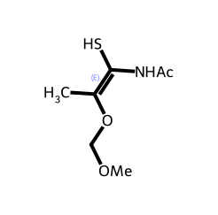 COCO/C(C)=C(/S)NC(C)=O